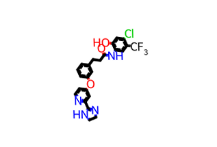 O=C(CCc1cccc(Oc2ccnc(C3=NCCN3)c2)c1)Nc1cc(C(F)(F)F)c(Cl)cc1O